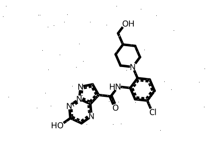 O=C(Nc1cc(Cl)ccc1N1CCC(CO)CC1)c1cnn2nc(O)cnc12